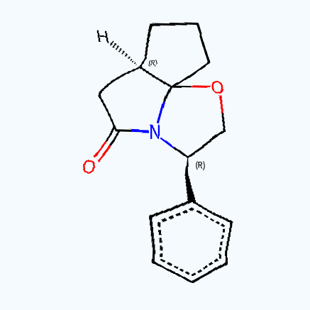 O=C1C[C@H]2CCCC23OC[C@@H](c2ccccc2)N13